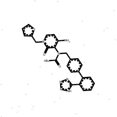 CCCCC(=O)N(Cc1ccc(-c2ccccc2-c2nnn[nH]2)cc1)c1c(N)ccn(Cc2cccs2)c1=O